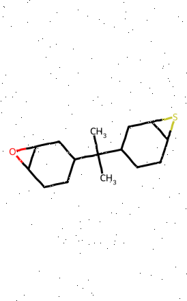 CC(C)(C1CCC2OC2C1)C1CCC2SC2C1